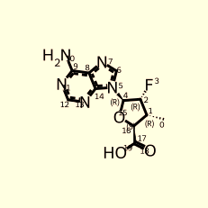 C[C@H]1[C@@H](F)[C@H](n2cnc3c(N)ncnc32)O[C@@H]1C(=O)O